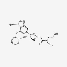 CN(CCO)C(=O)Cn1cc(-c2cc(Sc3ccccc3C#N)c3c(C#N)cnn3c2)cn1